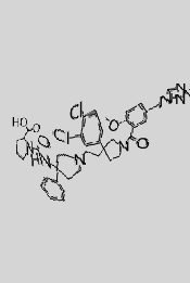 COc1ccc(-n2cnnn2)cc1C(=O)N1CCC(CCN2CCC(NC(=O)N3CCCC3C(=O)O)(c3ccccc3)CC2)(c2ccc(Cl)c(Cl)c2)C1